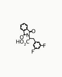 O=C(O)C(Cc1cc(F)cc(F)c1)N1C(=O)c2ccccc2C1=O